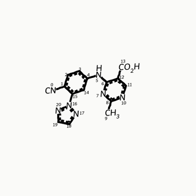 [C-]#[N+]c1ccc(Nc2nc(C)ncc2C(=O)O)cc1-n1nccn1